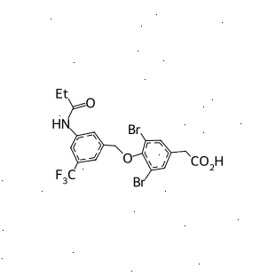 CCC(=O)Nc1cc(COc2c(Br)cc(CC(=O)O)cc2Br)cc(C(F)(F)F)c1